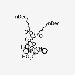 CCCCCCCCCCCCCCCC(=O)OCC(COC(=O)CCCCCCCCCCCCCCC)OC(=O)[C@@H]1C[C@@H]2CCCC[C@@H]2N1C(=O)C(C)N[C@@H](CCc1ccccc1)C(=O)O